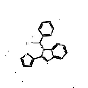 CC(c1ccccc1)C1C(C2=CC=CC2)=Cc2ccccc21